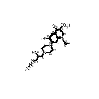 [N-]=[N+]=NCC(O)CN1CCN(c2cc3c(cc2F)c(=O)c(C(=O)O)cn3C2CC2)CC1